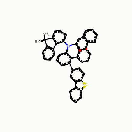 CC1(C)c2ccccc2-c2c(N(c3ccc4ccccc4c3)c3cccc(-c4ccc5sc6ccccc6c5c4)c3-c3ccccc3)cccc21